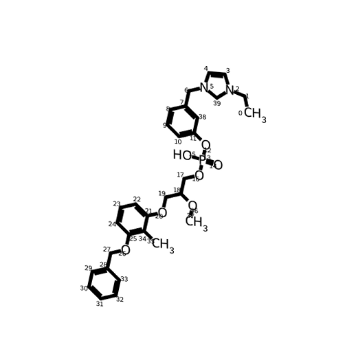 CCN1C=CN(Cc2cccc(OP(=O)(O)OCC(COc3cccc(OCc4ccccc4)c3C)OC)c2)C1